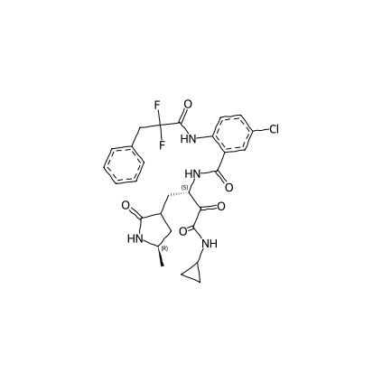 C[C@@H]1CC(C[C@H](NC(=O)c2cc(Cl)ccc2NC(=O)C(F)(F)Cc2ccccc2)C(=O)C(=O)NC2CC2)C(=O)N1